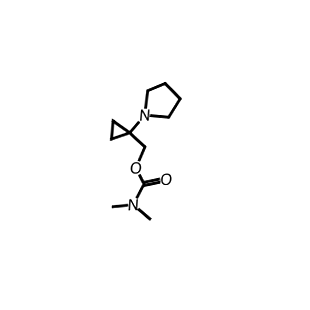 CN(C)C(=O)OCC1(N2CCCC2)CC1